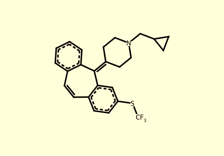 FC(F)(F)Sc1ccc2c(c1)C(=C1CCN(CC3CC3)CC1)c1ccccc1C=C2